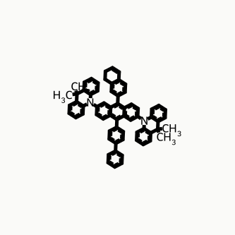 CC1(C)c2ccccc2N(c2ccc3c(-c4ccc5c(c4)CCC=C5)c4cc(N5c6ccccc6C(C)(C)c6ccccc65)ccc4c(-c4ccc(-c5ccccc5)cc4)c3c2)c2ccccc21